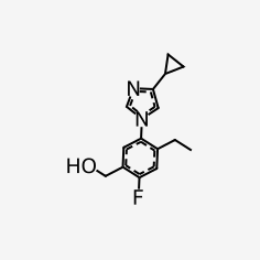 CCc1cc(F)c(CO)cc1-n1cnc(C2CC2)c1